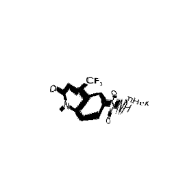 CCCCCCNS(=O)(=O)c1ccc2c(c1)c(C(F)(F)F)cc(=O)n2C